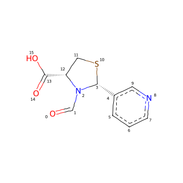 O=CN1[C@@H](c2cccnc2)SC[C@H]1C(=O)O